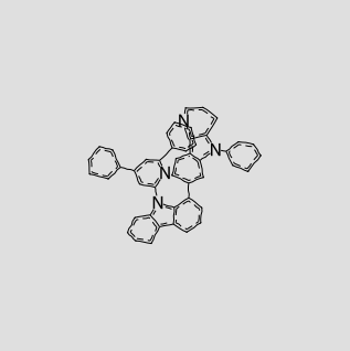 c1ccc(-c2cc(-c3ccccc3)nc(-n3c4ccccc4c4cccc(-c5ccc6c7ncccc7n(-c7ccccc7)c6c5)c43)c2)cc1